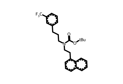 CC(C)(C)OC(=O)N(CCCc1cccc(C(F)(F)F)c1)CCc1cccc2ccccc12